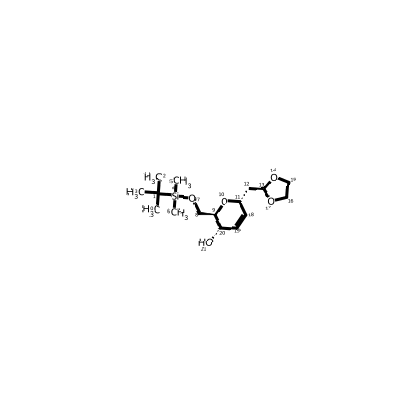 CC(C)(C)[Si](C)(C)OC[C@H]1O[C@H](CC2OCCO2)C=C[C@@H]1O